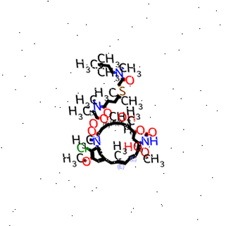 COc1cc2cc(c1Cl)N(C)C(=O)C[C@H](OC(=O)[C@H](C)N(C)C(=O)CCC(C)(C)SCC(=O)N(C)CCC(C)(C)C)[C@@H](C)[C@@H](O)[C@H](C)[C@@H]1C[C@@](O)(NC(=O)O1)[C@H](OC)/C=C/C=C(\C)C2